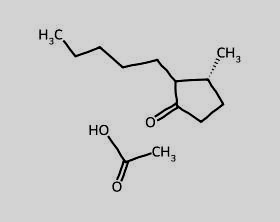 CC(=O)O.CCCCCC1C(=O)CC[C@H]1C